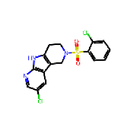 O=S(=O)(c1ccccc1Cl)N1CCc2[nH]c3ncc(Cl)cc3c2C1